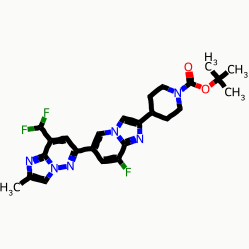 Cc1cn2nc(-c3cc(F)c4nc(C5CCN(C(=O)OC(C)(C)C)CC5)cn4c3)cc(C(F)F)c2n1